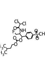 CC(C)CCOC(=O)OC(c1ccc(S(C)(=O)=O)cc1)C(CF)NC(=O)C(Cl)Cl